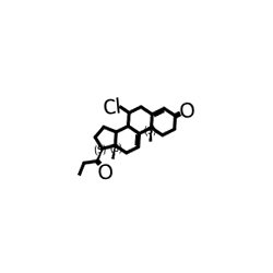 CCC(=O)[C@H]1CCC2C3C(=CC[C@@]21C)[C@@]1(C)CCC(=O)C=C1CC3Cl